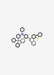 C1=CCC2C(=C1)C=C(c1ccc(N(c3ccccc3)c3cccc(C4(c5ccccc5)C5=C(C=CCC5)c5ccccc54)c3)cc1)c1ccc3c(sc4ccccc43)c12